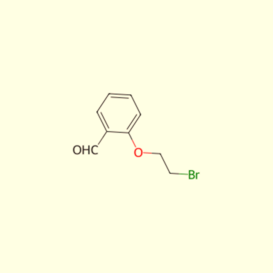 O=Cc1ccccc1OCCBr